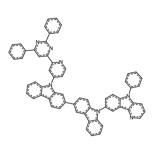 c1ccc(-c2cc(-c3cc(-n4c5ccccc5c5ccc(-c6ccc7c(c6)c6ccccc6n7-c6ccc7c(c6)c6ncccc6n7-c6ccccc6)cc54)ccn3)nc(-c3ccccc3)n2)cc1